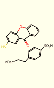 CCCCCCCCCCCCc1ccc(S(=O)(=O)O)cc1.O=c1c2ccccc2oc2ccc(S)cc12